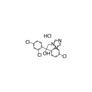 Cl.OC(Cn1cncn1)(c1ccc(Cl)cc1)c1ccc(Cl)cc1Cl